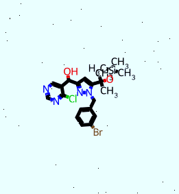 CC(C)(O[Si](C)(C)C)c1cc(C(O)c2cncnc2Cl)nn1Cc1cccc(Br)c1